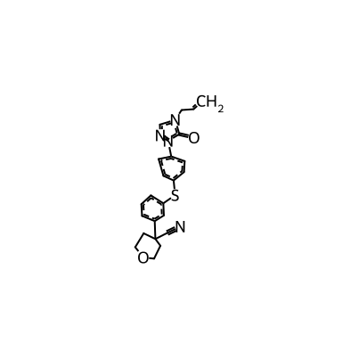 C=CCn1cnn(-c2ccc(Sc3cccc(C4(C#N)CCOCC4)c3)cc2)c1=O